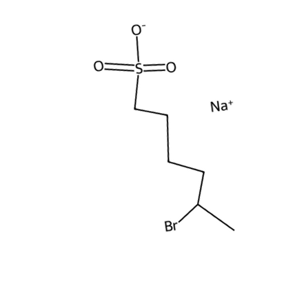 CC(Br)CCCCS(=O)(=O)[O-].[Na+]